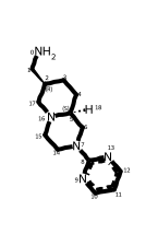 NC[C@H]1CC[C@H]2CN(c3ncccn3)CCN2C1